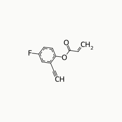 C#Cc1cc(F)ccc1OC(=O)C=C